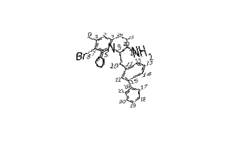 Cc1cc2n(c(=O)c1Br)C(Cc1cccc(-c3ccccc3)c1)C(N)CC2